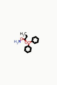 C=CC(=O)ON.c1ccc(Oc2ccccc2)cc1